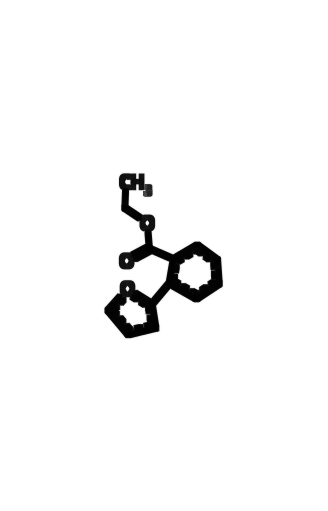 CCOC(=O)c1ccccc1-c1ccco1